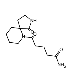 NC(=O)CCCC(=O)N1CCCCC12CCNC2=O